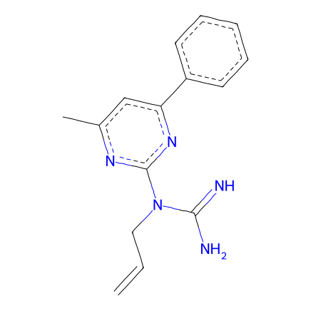 C=CCN(C(=N)N)c1nc(C)cc(-c2ccccc2)n1